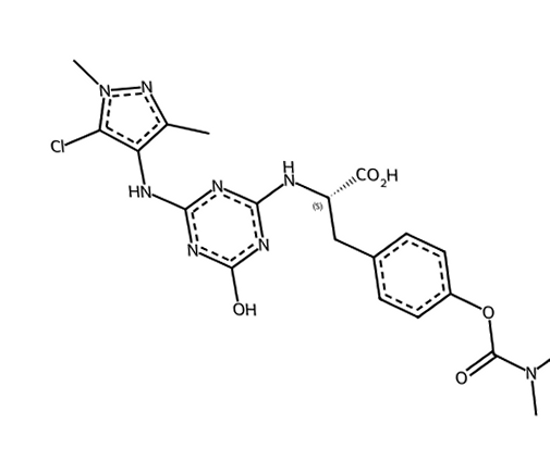 Cc1nn(C)c(Cl)c1Nc1nc(O)nc(N[C@@H](Cc2ccc(OC(=O)N(C)C)cc2)C(=O)O)n1